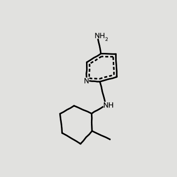 CC1CCCCC1Nc1ccc(N)cn1